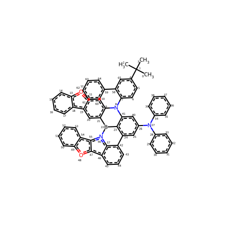 CC(C)(C)c1ccc(N2c3cc4oc5ccccc5c4cc3B3c4c(cc(N(c5ccccc5)c5ccccc5)cc42)-c2cccc4c5oc6ccccc6c5n3c24)c(-c2ccccc2)c1